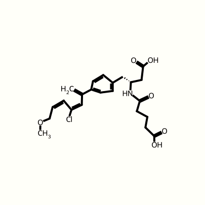 C=C(/C=C(Cl)\C=C/COC)c1ccc(C[C@H](CC(=O)O)NC(=O)CCCC(=O)O)cc1